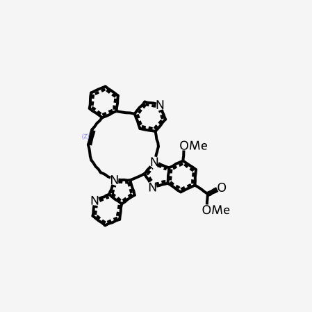 COC(=O)c1cc(OC)c2c(c1)nc1n2Cc2cncc(c2)-c2ccccc2/C=C\CCn2c-1cc1cccnc12